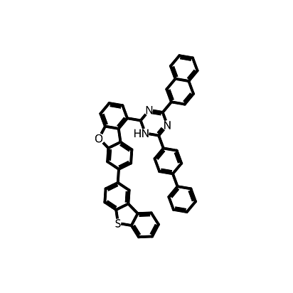 c1ccc(-c2ccc(C3=NC(c4ccc5ccccc5c4)=NC(c4cccc5oc6cc(-c7ccc8sc9ccccc9c8c7)ccc6c45)N3)cc2)cc1